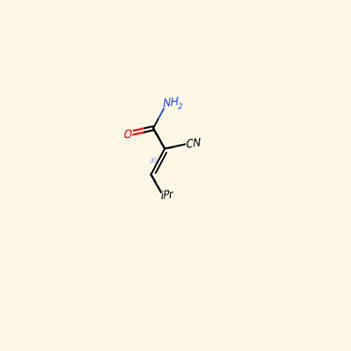 CC(C)/C=C(\C#N)C(N)=O